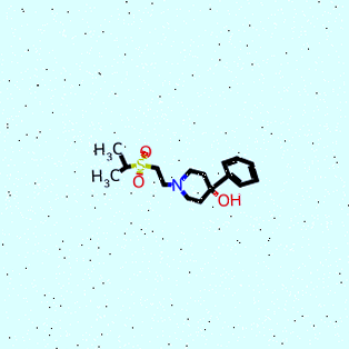 CC(C)S(=O)(=O)CCN1CCC(O)(c2ccccc2)CC1